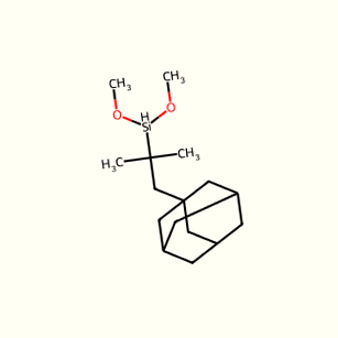 CO[SiH](OC)C(C)(C)CC12CC3CC(CC(C3)C1)C2